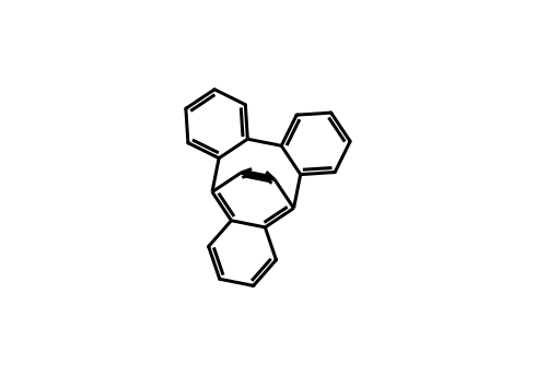 c1ccc2c(c1)-c1ccccc1-c1c3ccccc3c-2c2ccccc12